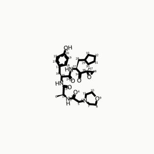 C[C@H](NC(=O)CN1CCOCC1)C(=O)N[C@@H](Cc1ccc(O)cc1)C(=O)N[C@@H](CC1CCCC1)C(=O)[C@@]1(C)CO1